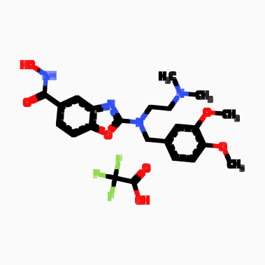 COc1ccc(CN(CCN(C)C)c2nc3cc(C(=O)NO)ccc3o2)cc1OC.O=C(O)C(F)(F)F